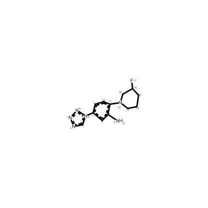 Nc1cc(-n2cnnn2)ccc1N1CCCC(F)C1